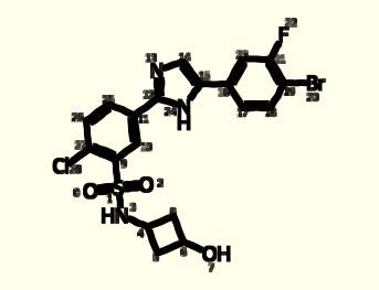 O=S(=O)(NC1CC(O)C1)c1cc(-c2ncc(-c3ccc(Br)c(F)c3)[nH]2)ccc1Cl